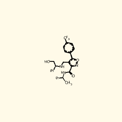 CC(C)C(C)NC(=O)c1noc(-c2ccc(C(F)(F)F)cc2)c1CNC(CO)C(C)C